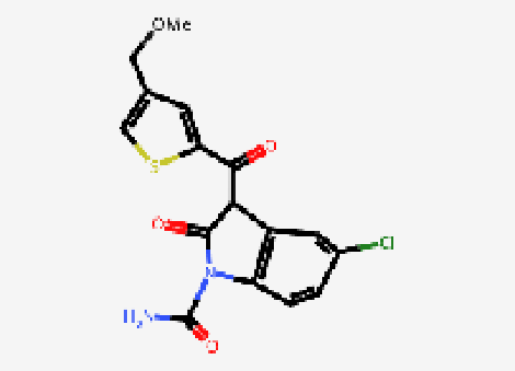 COCc1csc(C(=O)C2C(=O)N(C(N)=O)c3ccc(Cl)cc32)c1